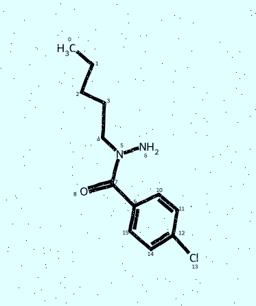 CCCCCN(N)C(=O)c1ccc(Cl)cc1